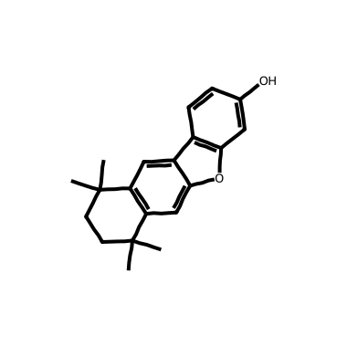 CC1(C)CCC(C)(C)c2cc3c(cc21)oc1cc(O)ccc13